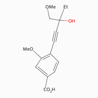 CCC(O)(C#Cc1ccc(C(=O)O)cc1OC)COC